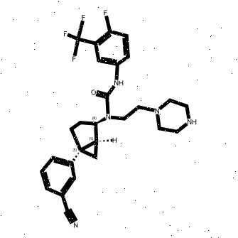 N#Cc1cccc([C@]23CC[C@@H](N(CCN4CCNCC4)C(=O)Nc4ccc(F)c(C(F)(F)F)c4)[C@H]2C3)c1